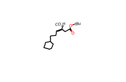 CC(C)(C)OC(=O)CC(=CCCC1CCCCC1)C(=O)O